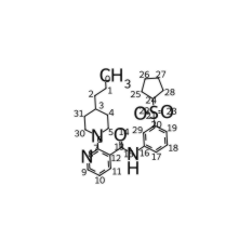 CCCC1CCN(c2ncccc2C(=O)Nc2cccc(S(=O)(=O)C3CCCC3)c2)CC1